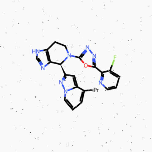 CC(C)c1cccn2nc([C@H]3c4nc[nH]c4CCN3c3nnc(-c4ncccc4F)o3)cc12